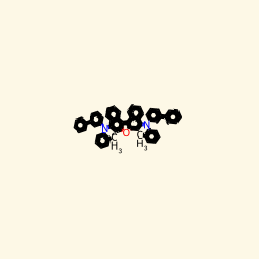 Cc1ccccc1N(c1cccc(-c2ccccc2)c1)c1cc2oc3cc(N(c4cccc(-c5ccccc5)c4)c4ccccc4C)c4ccccc4c3c2c2ccccc12